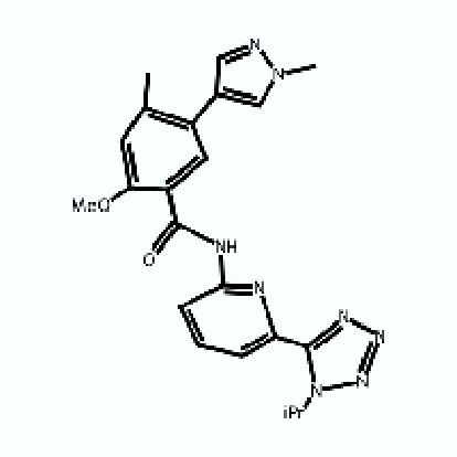 COc1cc(C)c(-c2cnn(C)c2)cc1C(=O)Nc1cccc(-c2nnnn2C(C)C)n1